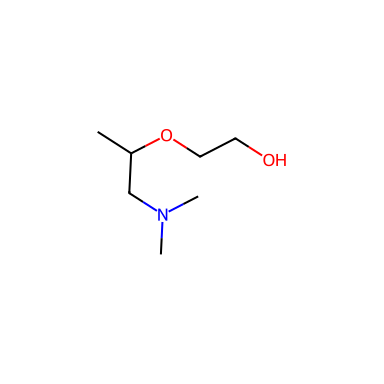 CC(CN(C)C)OCCO